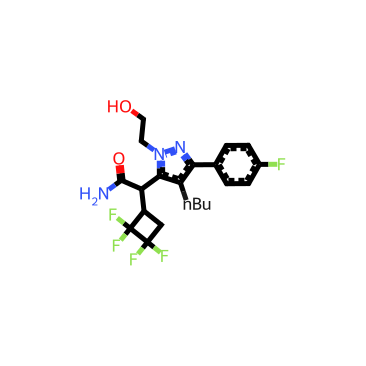 CCCCc1c(-c2ccc(F)cc2)nn(CCO)c1C(C(N)=O)C1CC(F)(F)C1(F)F